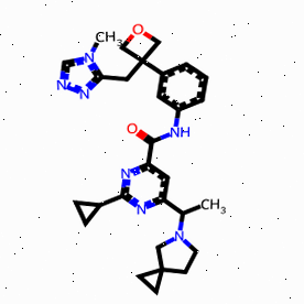 CC(c1cc(C(=O)Nc2cccc(C3(Cc4nncn4C)COC3)c2)nc(C2CC2)n1)N1CCC2(CC2)C1